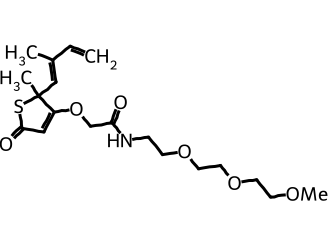 C=C/C(C)=C/C1(C)SC(=O)C=C1OCC(=O)NCCOCCOCCOC